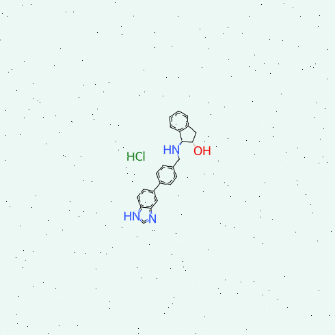 Cl.O[C@H]1Cc2ccccc2[C@@H]1NCc1ccc(-c2ccc3[nH]cnc3c2)cc1